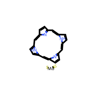 C1=Cc2cc3ccc(cc4nc(cc5ccc(cc1n2)[nH]5)C=C4)[nH]3.[S]=[Mo]=[S]